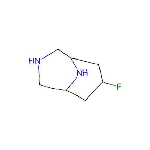 FC1CC2CNCC(C1)N2